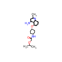 Cc1cc(N)c2c(O[C@H]3CC[C@H](NC(=O)COC(C)C)CC3)cccc2n1